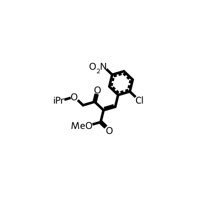 COC(=O)C(=Cc1cc([N+](=O)[O-])ccc1Cl)C(=O)COC(C)C